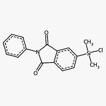 C[Si](C)(Cl)c1ccc2c(c1)C(=O)N(c1ccccc1)C2=O